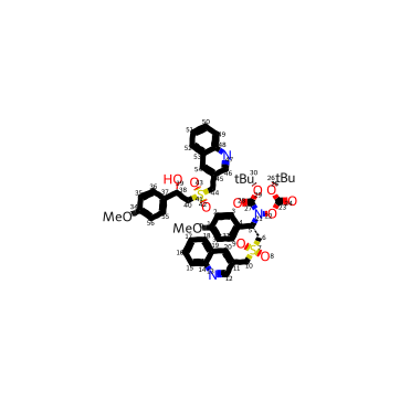 COc1ccc([C@@H](CS(=O)(=O)Cc2cnc3ccccc3c2)N(OC(=O)OC(C)(C)C)C(=O)OC(C)(C)C)cc1.COc1ccc([C@H](O)CS(=O)(=O)Cc2cnc3ccccc3c2)cc1